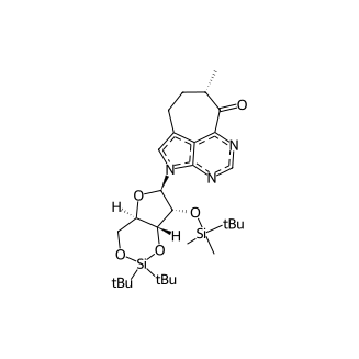 C[C@H]1CCc2cn([C@@H]3O[C@@H]4CO[Si](C(C)(C)C)(C(C)(C)C)O[C@H]4[C@H]3O[Si](C)(C)C(C)(C)C)c3ncnc(c23)C1=O